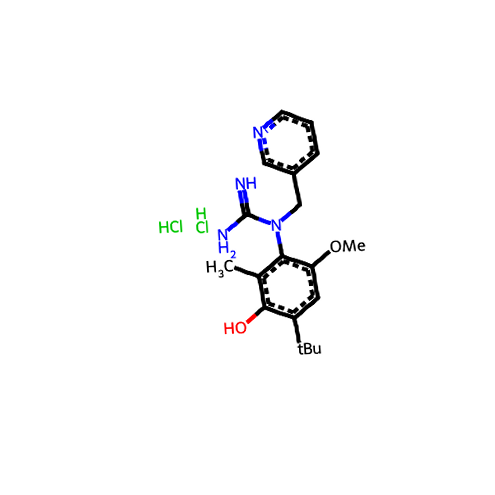 COc1cc(C(C)(C)C)c(O)c(C)c1N(Cc1cccnc1)C(=N)N.Cl.Cl